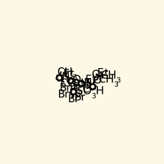 CCN(c1ccc2c(-c3c(Br)c(Br)c(Br)c(Br)c3S(=O)(=O)O)c3cc/c(=[N+](/CC)c4c(C)cccc4COC(=O)C(C)(C)CC)cc-3oc2c1)c1c(C)cccc1C(=O)O